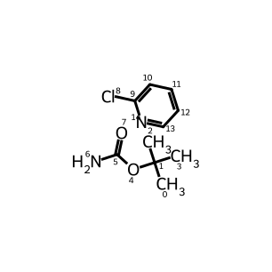 CC(C)(C)OC(N)=O.Clc1ccccn1